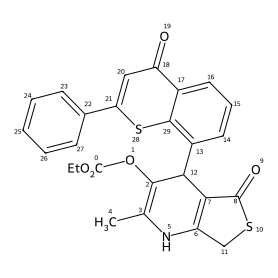 CCOC(=O)OC1=C(C)NC2=C(C(=O)SC2)C1c1cccc2c(=O)cc(-c3ccccc3)sc12